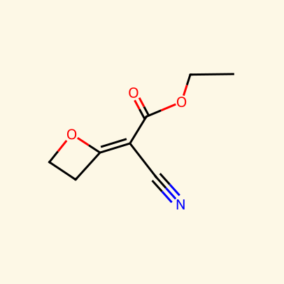 CCOC(=O)C(C#N)=C1CCO1